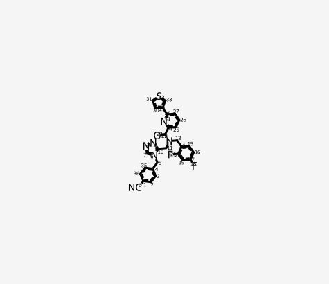 N#Cc1ccc(Cn2cnnc2CN(Cc2ccc(F)cc2F)C(=O)c2cccc(-c3ccsc3)n2)cc1